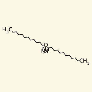 CCCCCCCCCCCCOCCCCCCCCCCCC.[Na].[Na]